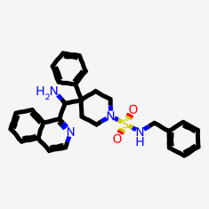 NC(c1nccc2ccccc12)C1(c2ccccc2)CCN(S(=O)(=O)NCc2ccccc2)CC1